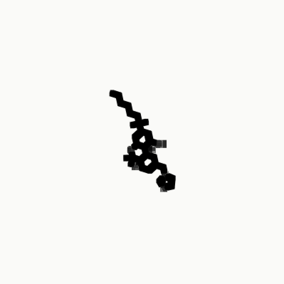 CCCCCCC(C)(C)C1=CC2OC(C)(C)[C@H]3CC=C(Cn4ccnc4)CC3[C@@H]2C(O)=C1